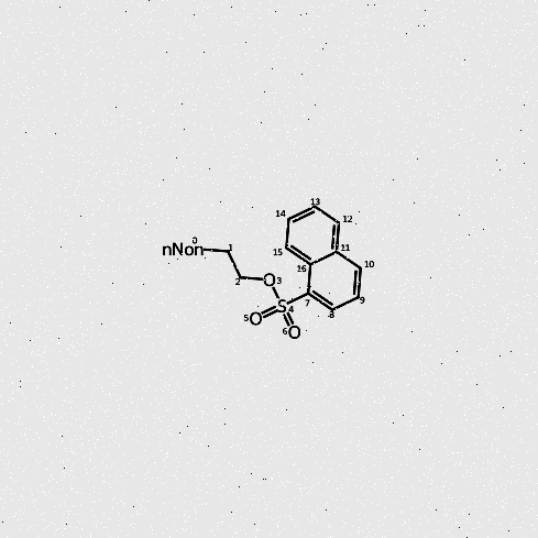 CCCCCCCCCCCOS(=O)(=O)c1cccc2ccccc12